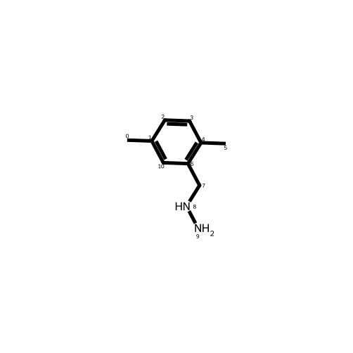 Cc1ccc(C)c(CNN)c1